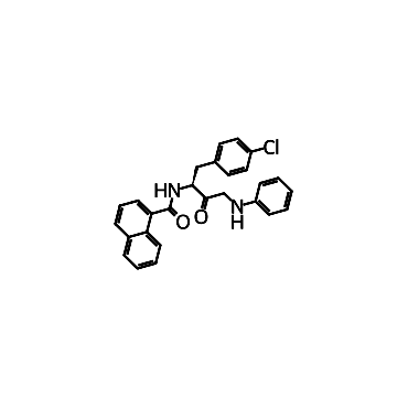 O=C(N[C@@H](Cc1ccc(Cl)cc1)C(=O)CNc1ccccc1)c1cccc2ccccc12